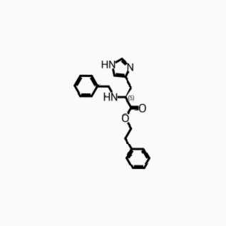 O=C(OCCc1ccccc1)[C@H](Cc1c[nH]cn1)NCc1ccccc1